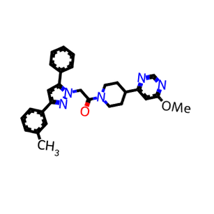 COc1cc(C2CCN(C(=O)Cn3nc(-c4cccc(C)c4)cc3-c3ccccc3)CC2)ncn1